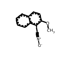 COc1ccc2ccccc2c1C#[N+][O-]